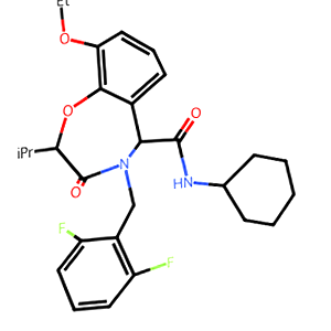 CCOc1cccc2c1OC(C(C)C)C(=O)N(Cc1c(F)cccc1F)C2C(=O)NC1CCCCC1